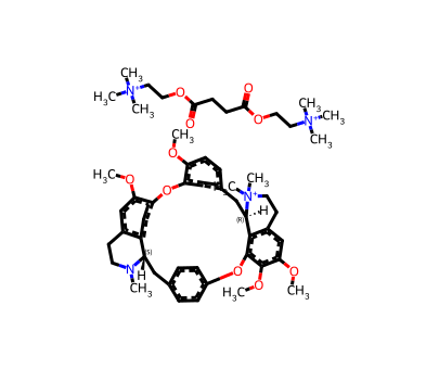 COc1ccc2cc1Oc1cc3c(cc1OC)CCN(C)[C@H]3Cc1ccc(cc1)Oc1c(OC)c(OC)cc3c1[C@@H](C2)[N+](C)(C)CC3.C[N+](C)(C)CCOC(=O)CCC(=O)OCC[N+](C)(C)C